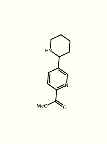 COC(=O)c1ccc(C2CCCCN2)cn1